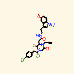 C#CCN1C(=O)CN(C(Cl)Cc2ccc(Cl)cc2)C(=O)C1CC(=O)NCCc1c[nH]c2ccc(OC)cc12